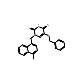 Cc1ccc(Cn2nc(OCc3ccccc3)c(=O)[nH]c2=O)c2ccccc12